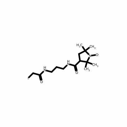 CC1(C)CC(C(=O)NCCCNC(=O)CI)C(C)(C)N1[O]